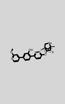 COc1cc(-c2ccc(-c3ccc(O[C@H]4[C@@H]5CN[C@@](C)(C5)[C@@H]4F)nn3)c(O)c2)ccn1